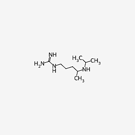 CC(C)NC(C)CCCNC(=N)N